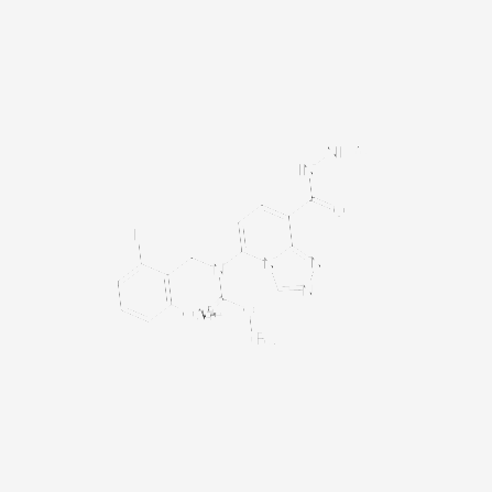 COc1cccc(F)c1CN(C(=O)OC(C)(C)C)c1ccc(C(=O)NNC(C)=O)c2nncn12